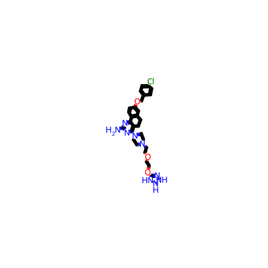 Nc1nc2c(c(N3CCN(CCOCCOC4=NNNN4)CC3)n1)CCc1cc(OCc3ccc(Cl)cc3)ccc1-2